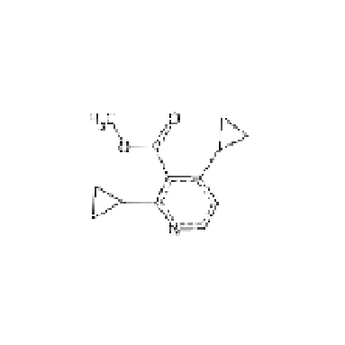 COC(=O)c1c(C2CC2)ccnc1C1CC1